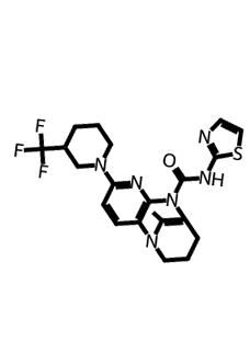 CC1=C2CCCN1c1ccc(N3CCCC(C(F)(F)F)C3)nc1N2C(=O)Nc1nccs1